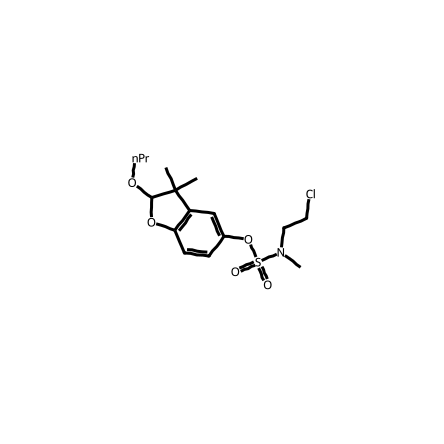 CCCOC1Oc2ccc(OS(=O)(=O)N(C)CCCl)cc2C1(C)C